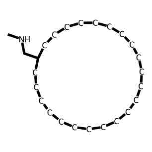 CNCC1CCCCCCCCCCCCCCCCCCCCCC1